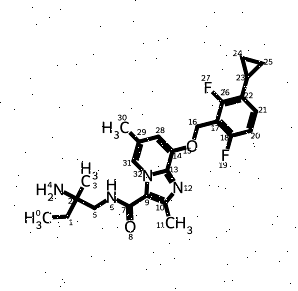 CCC(C)(N)CNC(=O)c1c(C)nc2c(OCc3c(F)ccc(C4CC4)c3F)cc(C)cn12